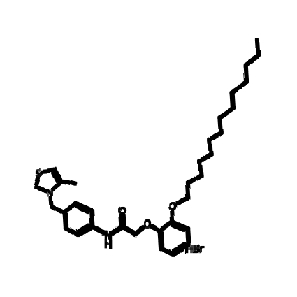 Br.CCCCCCCCCCCCCCOc1ccccc1OCC(=O)Nc1ccc(CN2CSC=C2C)cc1